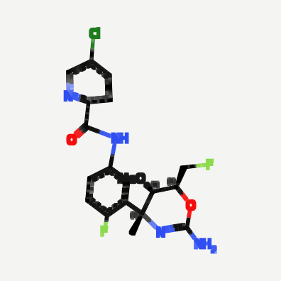 CO[C@H]1[C@@H](CF)OC(N)=N[C@]1(C)c1cc(NC(=O)c2ccc(Cl)cn2)ccc1F